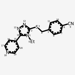 CCn1c(SCc2ccc(C#N)cc2)nnc1-c1ccncc1